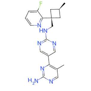 Cc1cnc(N)nc1-c1cnc(NC[C@]2(c3ncccc3F)C[C@H](C)C2)nc1